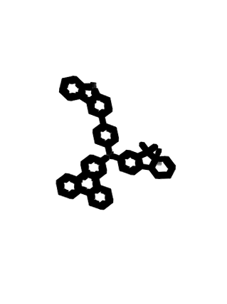 CC1(C)c2cc(N(c3ccc(-c4ccc5sc6ccccc6c5c4)cc3)c3ccc4c5ccccc5c5ccccc5c4c3)ccc2C2C=CC=C[C@]21C